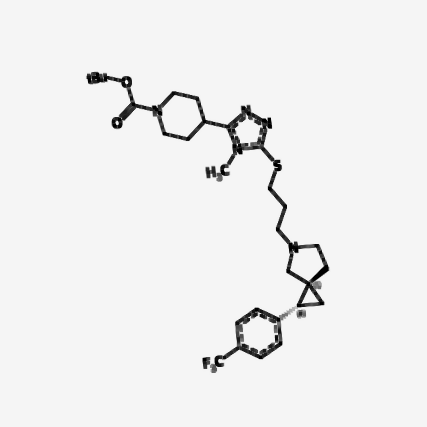 Cn1c(SCCCN2CC[C@]3(C[C@@H]3c3ccc(C(F)(F)F)cc3)C2)nnc1C1CCN(C(=O)OC(C)(C)C)CC1